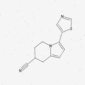 N#CC1CCn2c(ccc2-c2cncs2)C1